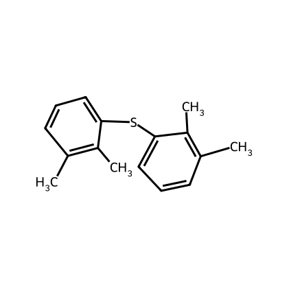 Cc1cccc(Sc2cccc(C)c2C)c1C